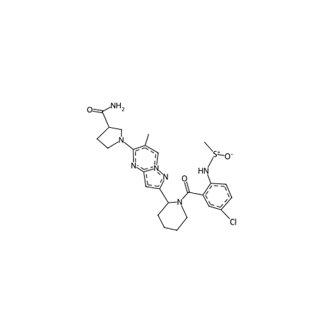 Cc1cn2nc(C3CCCCN3C(=O)c3cc(Cl)ccc3N[S+](C)[O-])cc2nc1N1CCC(C(N)=O)C1